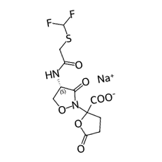 O=C(CSC(F)F)N[C@H]1CON(C2(C(=O)[O-])CCC(=O)O2)C1=O.[Na+]